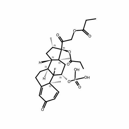 CCC(=O)OCC(=O)[C@@]1(OC(=O)CC)[C@@H](C)C[C@H]2[C@@H]3CCC4=CC(=O)C=C[C@]4(C)C3(F)[C@@H](OP(=O)(O)O)C[C@@]21C